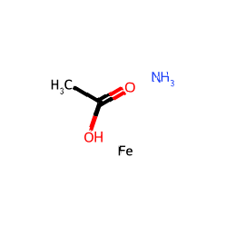 CC(=O)O.N.[Fe]